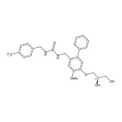 COc1cc(CNC(=O)NCc2ccc(C(F)(F)F)cc2)c(-c2ccccc2)cc1OC[C@H](O)CO